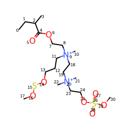 CCC(C)C(=O)OCC[N+](C)(CCCOSOC)CC[N+](C)(C)CCOS(=O)(=O)OC